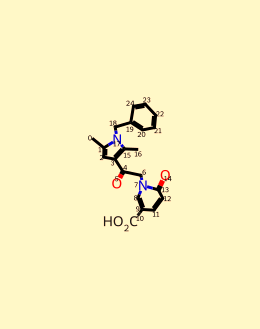 Cc1cc(C(=O)Cn2cc(C(=O)O)ccc2=O)c(C)n1Cc1ccccc1